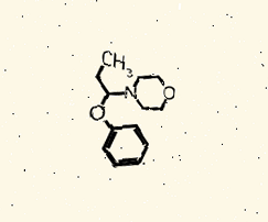 CCC(Oc1cc[c]cc1)N1CCOCC1